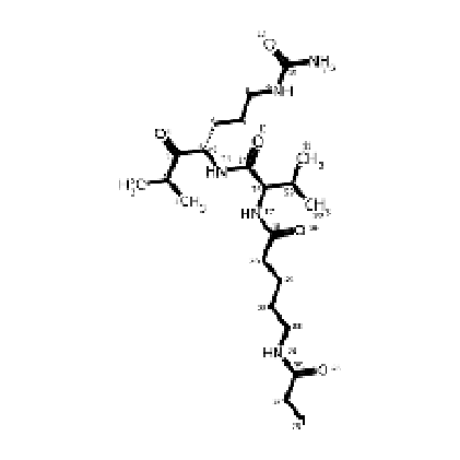 CC(C)C(=O)[C@H](CCCNC(N)=O)NC(=O)C(NC(=O)CCCCNC(=O)CI)C(C)C